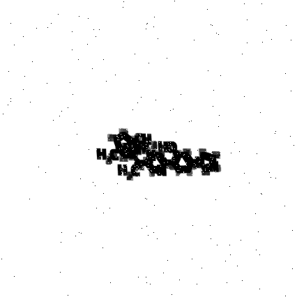 C=C(c1cnc(-c2ccc(-n3ccnc3)cc2O)cn1)[C@@H]1C[C@@]2(C)CC[C@](C)(N2)[C@@H]1F